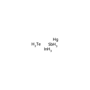 [Hg].[InH3].[SbH3].[TeH2]